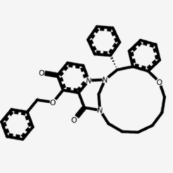 O=C1c2c(OCc3ccccc3)c(=O)ccn2N2CN1CCCCCCOc1ccccc1[C@H]2c1ccccc1